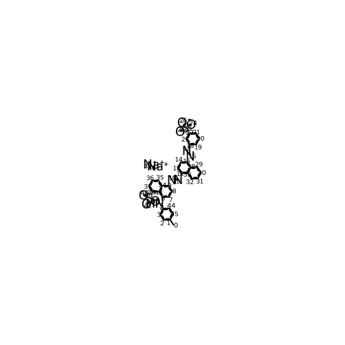 Cc1ccc(Nc2ccc(N=Nc3ccc(N=Nc4cccc(S(=O)(=O)[O-])c4)c4ccccc34)c3cccc(S(=O)(=O)[O-])c23)cc1.[Na+].[Na+]